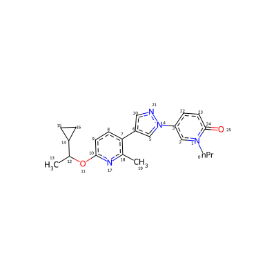 CCCn1cc(-n2cc(-c3ccc(OC(C)C4CC4)nc3C)cn2)ccc1=O